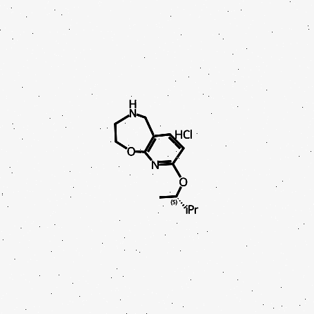 CC(C)[C@H](C)Oc1ccc2c(n1)OCCNC2.Cl